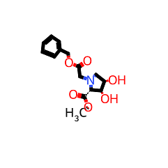 COC(=O)[C@H]1[C@H](O)[C@H](O)CN1CC(=O)OCc1ccccc1